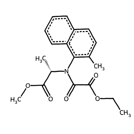 CCOC(=O)C(=O)N(c1c(C)ccc2ccccc12)[C@@H](C)C(=O)OC